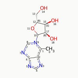 Cc1c2ncnc-2ncn1C1O[C@H](CO)[C@@H](O)[C@H]1O